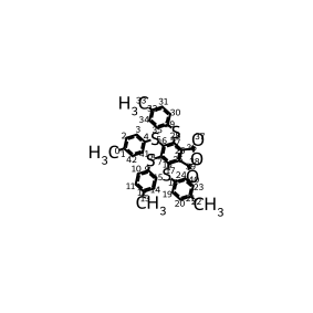 Cc1ccc(Sc2c(Sc3ccc(C)cc3)c(Sc3ccc(C)cc3)c3c(c2Sc2ccc(C)cc2)C(=O)OC3=O)cc1